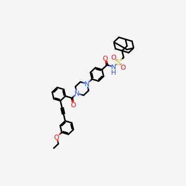 CCOc1cccc(C#Cc2ccccc2C(=O)N2CCN(c3ccc(C(=O)NS(=O)(=O)CC45CC6CC(CC(C6)C4)C5)cc3)CC2)c1